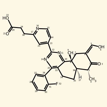 C[C@H]1C(=O)/C(=C\O)C[C@@]2(C)c3nc(-c4ccnc(CCC(=O)O)c4)nc(-c4ccccc4F)c3CC[C@H]12